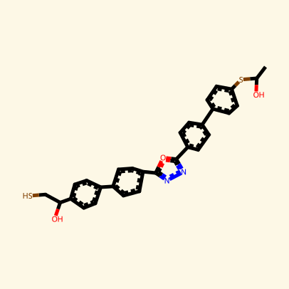 CC(O)Sc1ccc(-c2ccc(-c3nnc(-c4ccc(-c5ccc(C(O)CS)cc5)cc4)o3)cc2)cc1